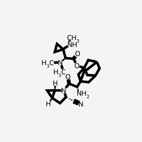 CNC1([C@@H](C(=O)OC23CC4CC(C2)CC([C@H](N)C(=O)N2[C@H](C#N)C[C@@H]5C[C@@H]52)(C4)C3)N(C)C)CC1